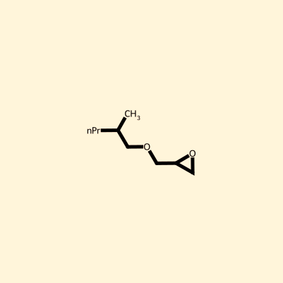 CCCC(C)COCC1CO1